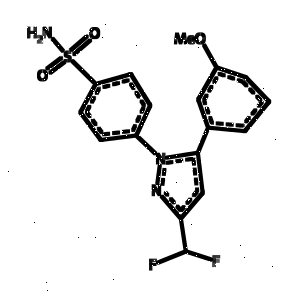 COc1cccc(-c2cc(C(F)F)nn2-c2ccc(S(N)(=O)=O)cc2)c1